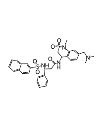 CN(C)Cc1ccc2c(c1)N(C)S(=O)(=O)CC2NC(=O)CC(NS(=O)(=O)c1ccc2ccccc2c1)c1ccccc1